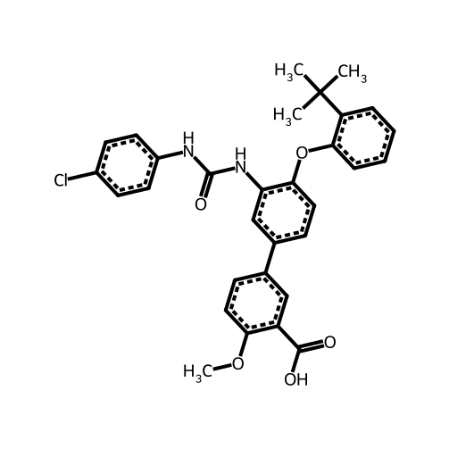 COc1ccc(-c2ccc(Oc3ccccc3C(C)(C)C)c(NC(=O)Nc3ccc(Cl)cc3)c2)cc1C(=O)O